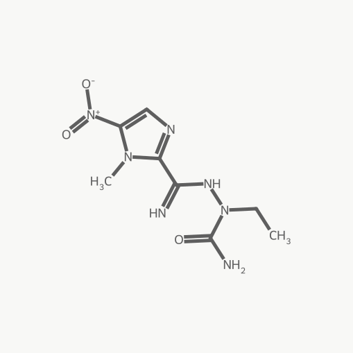 CCN(NC(=N)c1ncc([N+](=O)[O-])n1C)C(N)=O